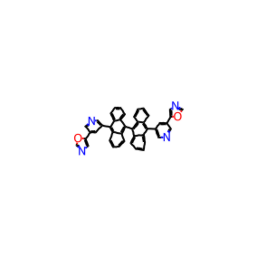 c1ccc2c(-c3c4ccccc4c(-c4cncc(-c5cnco5)c4)c4ccccc34)c3ccccc3c(-c3cncc(-c4cnco4)c3)c2c1